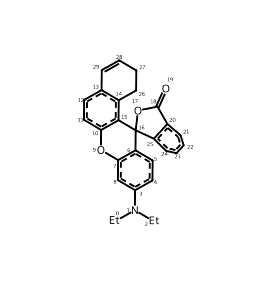 CCN(CC)c1ccc2c(c1)Oc1ccc3c(c1C21OC(=O)c2ccccc21)CCC=C3